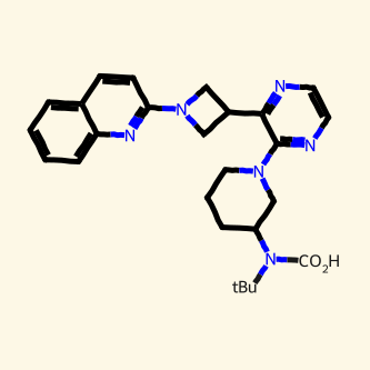 CC(C)(C)N(C(=O)O)C1CCCN(c2nccnc2C2CN(c3ccc4ccccc4n3)C2)C1